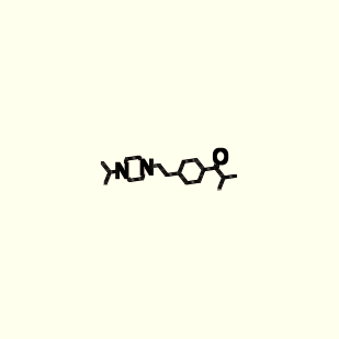 CC(C)C(=O)C1CCC(CCN2CCN(C(C)C)CC2)CC1